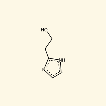 OCCc1nc[c][nH]1